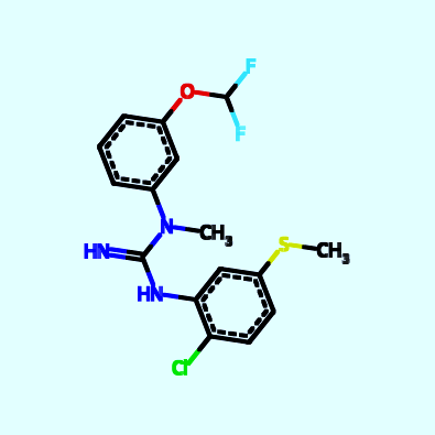 CSc1ccc(Cl)c(NC(=N)N(C)c2cccc(OC(F)F)c2)c1